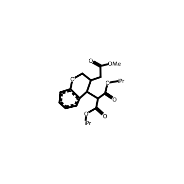 COC(=O)CC1COc2ccccc2C1C(C(=O)OC(C)C)C(=O)OC(C)C